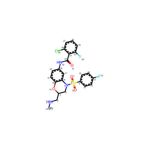 CCCNCC1CN(S(=O)(=O)c2ccc(F)cc2)c2cc(NC(=O)c3c(F)cccc3Cl)ccc2O1